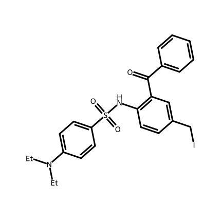 CCN(CC)c1ccc(S(=O)(=O)Nc2ccc(CI)cc2C(=O)c2ccccc2)cc1